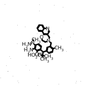 Cc1ccc(C(c2ccc(N(C)N)c(N)c2C)C(C)(C)C(=O)O)cc1CN1CCOc2c(cnc3ccccc23)C1